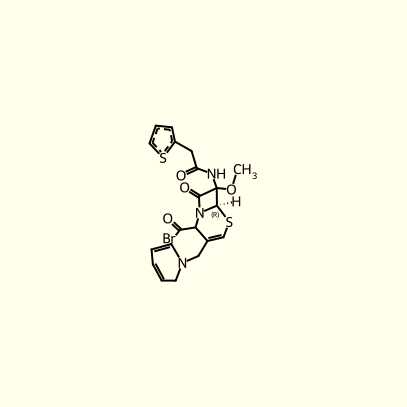 COC1(NC(=O)Cc2cccs2)C(=O)N2C(C(=O)Br)C(CN3C=CC=CC3)=CS[C@@H]21